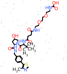 Cc1ncsc1-c1ccc(CNC(=O)[C@@H]2C[C@@H](O)CN2C(=O)C(NC(=O)CCC(=O)NCCOCCOCCNC(=O)O)C(C)(C)C)cc1